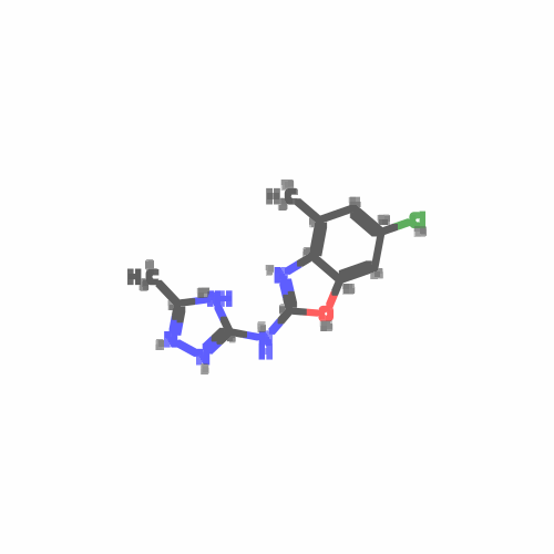 Cc1nnc(Nc2nc3c(C)cc(Cl)cc3o2)[nH]1